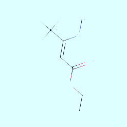 CCOC(=O)/C=C(\NC)C(F)(F)F